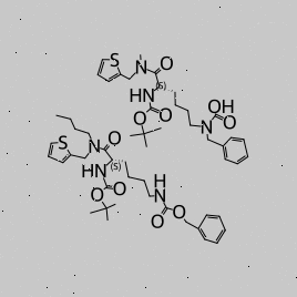 CCCCN(Cc1cccs1)C(=O)[C@H](CCCCNC(=O)OCc1ccccc1)NC(=O)OC(C)(C)C.CN(Cc1cccs1)C(=O)[C@H](CCCCN(Cc1ccccc1)C(=O)O)NC(=O)OC(C)(C)C